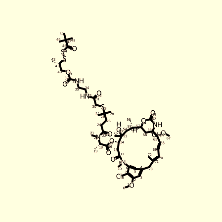 COc1cc2cc(c1Cl)N(C)C(=O)C[C@H](OC(=O)[C@H](C)N(C)C(=O)CCC(C)(C)SCC(=O)NCCNC(=O)OC[C@H](C)SSC(=O)C(C)(C)C)C(C)(O)C[C@H](C)[C@@H]1C[C@@](O)(NC(=O)O1)[C@H](OC)/C=C/C=C(\C)C2